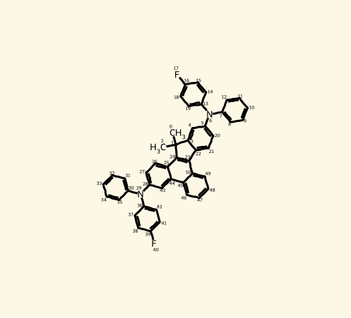 CC1(C)c2cc(N(c3ccccc3)c3ccc(F)cc3)ccc2-c2c1c1ccc(N(c3ccccc3)c3ccc(F)cc3)cc1c1ccccc21